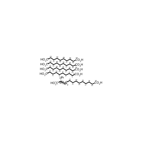 CC(C)[C@H](N)C(=O)O.O=C(O)CCCCCCCCC(=O)O.O=C(O)CCCCCCCCC(=O)O.O=C(O)CCCCCCCCC(=O)O.O=C(O)CCCCCCCCC(=O)O.O=C(O)CCCCCCCCC(=O)O